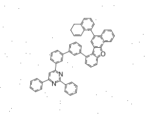 C1=Cc2c(cccc2-c2cc3c(oc4cccc(-c5cccc(-c6cccc(-c7cc(-c8ccccc8)nc(-c8ccccc8)n7)c6)c5)c43)c3ccccc23)CC1